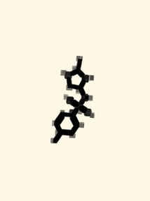 Cc1ccc(S(=O)(=O)OC2COC(C)O2)cc1